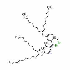 C=C(/C=C\C(C(=C)C)=C(/Br)C1=CC(CC(CCCCCCCC)CCCCCCCC)=CC[C@H]1CBr)CC(CCCCCCCC)CCCCCCCC